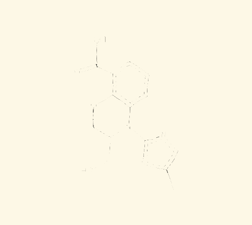 Cc1cnc(N2c3cccc(C(=O)O)c3OCC2CO)s1